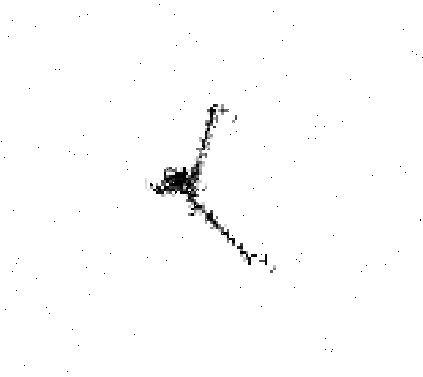 CCCCCCCCCCCCCCCCCC(=O)OCC(COP(OCCC#N)N(C(C)C)C(C)C)OC(=O)CCCCCCCCCCCCCCCCC